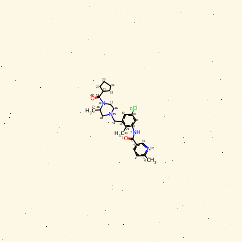 Cc1ccc(C(=O)Nc2cc(Cl)cc(CN3CCN(C(=O)C4CCCC4)C(C)C3)c2C)cn1